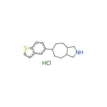 Cl.c1cc2cc(C3CCC4CNCC4CC3)ccc2s1